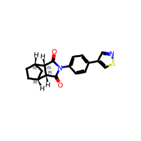 O=C1[C@@H]2[C@@H]3CC[C@@H](C3)[C@@H]2C(=O)N1c1ccc(-c2cnsc2)cc1